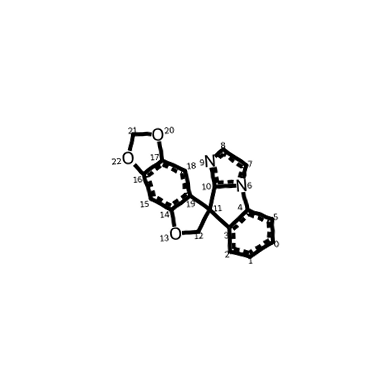 c1ccc2c(c1)-n1ccnc1C21COc2cc3c(cc21)OCO3